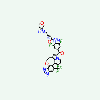 Cn1cnc2c3c(c(C(F)(F)F)cc21)-c1cccn2c(C(=O)c4cc(F)c(NC(=O)/C=C/CN[C@H]5CCOC5)c(F)c4)cc(c12)CCO3